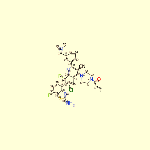 C=CC(=O)N1CCN(c2c(C#N)c(-c3cccc(CN(C)C)c3)nc3c(F)c(-c4ccc(F)c5sc(N)nc45)c(Cl)cc23)CC1